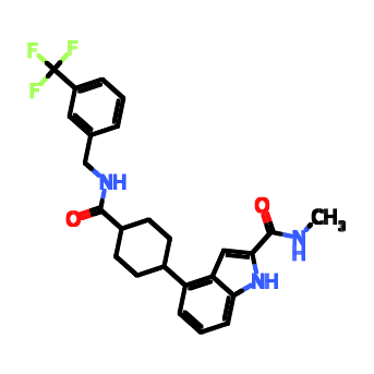 CNC(=O)c1cc2c(C3CCC(C(=O)NCc4cccc(C(F)(F)F)c4)CC3)cccc2[nH]1